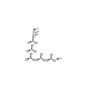 [Bi+3].[Bi+3].[Ca+2].[Ca+2].[O]=[Ti]([O-])[O-].[O]=[Ti]([O-])[O-].[O]=[Ti]([O-])[O-].[O]=[Ti]([O-])[O-].[O]=[Ti]([O-])[O-]